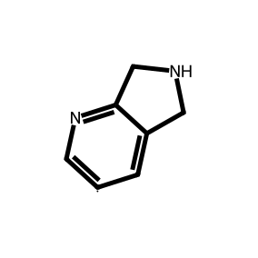 [c]1cnc2c(c1)CNC2